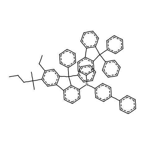 CCCC(C)(C)c1cc2c(cc1CC)C(c1ccccc1)(c1ccccc1)c1c-2cccc1N(c1ccc(-c2ccccc2)cc1)c1ccc2c(c1)C(c1ccccc1)(c1ccccc1)c1ccccc1-2